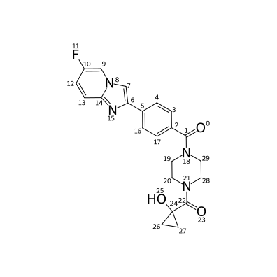 O=C(c1ccc(-c2cn3cc(F)ccc3n2)cc1)N1CCN(C(=O)C2(O)CC2)CC1